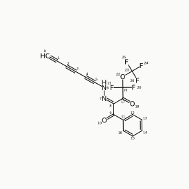 C#CC#CC#CN/N=C(/C(=O)c1ccccc1)C(=O)C(F)(F)OC(F)(F)F